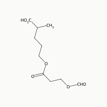 CC(CCCOC(=O)CCOC=O)C(=O)O